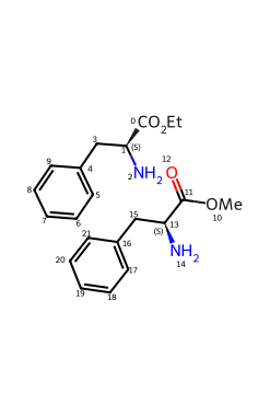 CCOC(=O)[C@@H](N)Cc1ccccc1.COC(=O)[C@@H](N)Cc1ccccc1